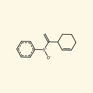 C=C(C1C=CCCC1)[S+]([O-])c1ccccc1